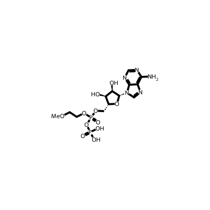 COCCOP(=O)(OC[C@H]1O[C@@H](n2cnc3c(N)ncnc32)[C@H](O)[C@@H]1O)OP(=O)(O)O